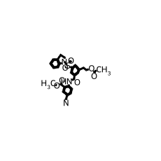 COC(=O)c1cc(C#N)ccc1NC(=O)c1cc(CCOC(C)=O)cc(S(=O)(=O)N2CCc3ccccc32)c1